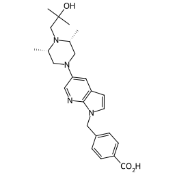 C[C@@H]1CN(c2cnc3c(ccn3Cc3ccc(C(=O)O)cc3)c2)C[C@H](C)N1CC(C)(C)O